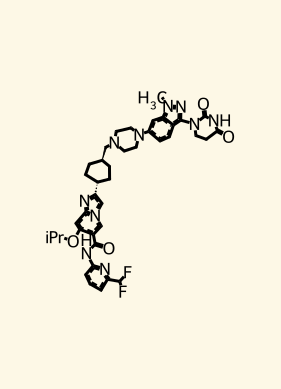 CC(C)Oc1cc2nc([C@H]3CC[C@H](CN4CCN(c5ccc6c(N7CCC(=O)NC7=O)nn(C)c6c5)CC4)CC3)cn2cc1C(=O)Nc1cccc(C(F)F)n1